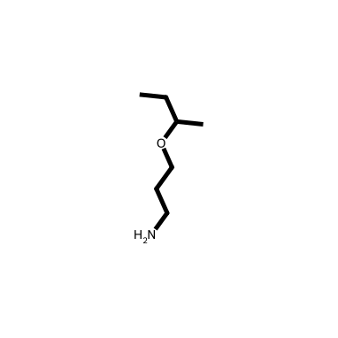 CCC(C)OCCCN